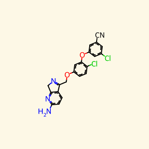 N#Cc1cc(Cl)cc(Oc2cc(OCC3=NCc4nc(N)ccc43)ccc2Cl)c1